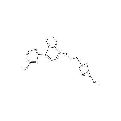 Nc1cccc(-c2ccc(OCCN3CC4C(N)C4C3)c3ccccc23)n1